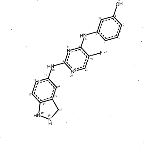 Oc1cccc(Nc2nc(Nc3ccc4c(c3)CNN4)ncc2F)c1